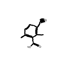 Cc1ccc(C#N)c(C)c1C(=O)O